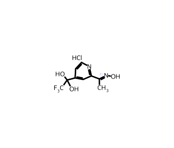 C/C(=N\O)c1cc(C(O)(O)C(F)(F)F)ccn1.Cl